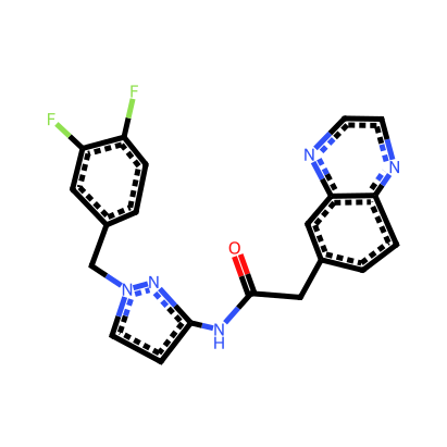 O=C(Cc1ccc2nccnc2c1)Nc1ccn(Cc2ccc(F)c(F)c2)n1